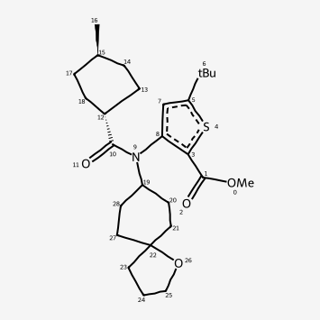 COC(=O)c1sc(C(C)(C)C)cc1N(C(=O)[C@H]1CC[C@H](C)CC1)C1CCC2(CCCO2)CC1